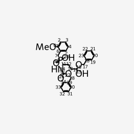 COc1ccccc1CP(=O)(O)C(CCC(O)OCc1ccccc1)NC(=O)OCc1ccccc1